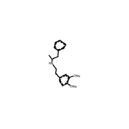 COc1ccc(CCNC(C)Cc2ccccc2)cc1OC